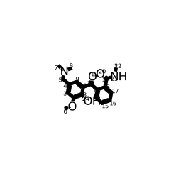 COc1cc(CN(C)C)cc(C(=O)c2ccccc2C(=O)NI)c1O